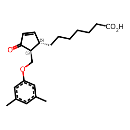 Cc1cc(C)cc(OC[C@H]2C(=O)C=C[C@@H]2CCCCCCC(=O)O)c1